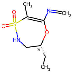 C=NC1=C(C)S(=O)(=O)NC[C@@H](CC)O1